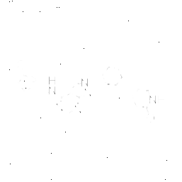 O=c1ccc(Cc2ccc(Cn3cc4c(NCc5ccc(Cl)s5)ncnc4n3)cc2)c[nH]1